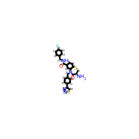 N[C@H]1CSc2ccc(C(=O)NCc3ccc(F)cc3)cc2N(Cc2ccc(-c3csnn3)cc2)C1=O